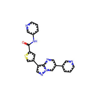 O=C(Nc1cccnc1)c1cc(-c2cnn3cc(-c4cccnc4)cnc23)cs1